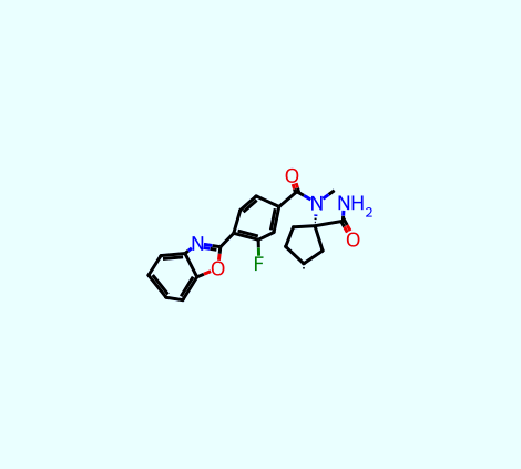 CN(C(=O)c1ccc(-c2nc3ccccc3o2)c(F)c1)[C@]1(C(N)=O)C[CH]CC1